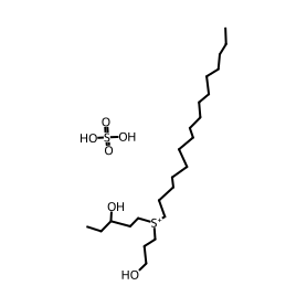 CCCCCCCCCCCCCCCC[S+](CCCO)CCC(O)CC.O=S(=O)(O)O